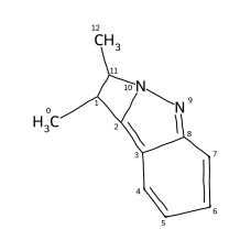 CC1c2c3ccccc3nn2C1C